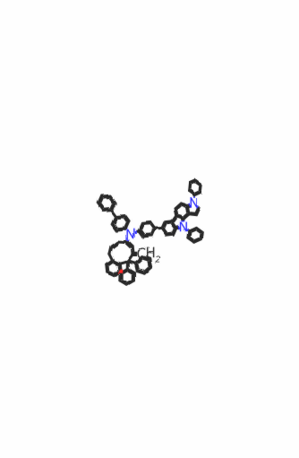 C=C1/C=C(N(c2ccc(-c3ccccc3)cc2)c2ccc(-c3ccc4c(c3)c3ccc5c(ccn5-c5ccccc5)c3n4-c3ccccc3)cc2)\C=C/Cc2ccccc2C1(c1ccccc1)c1ccccc1